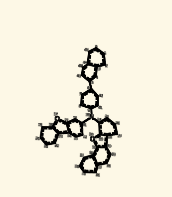 c1ccc2cc(-c3ccc(N(c4ccc5c(c4)oc4ccccc45)c4cccc5c4oc4c6ccccc6ccc54)cc3)ccc2c1